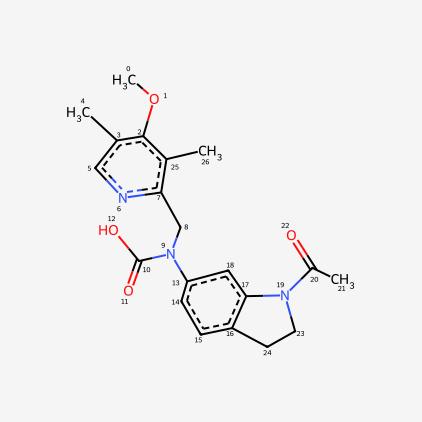 COc1c(C)cnc(CN(C(=O)O)c2ccc3c(c2)N(C(C)=O)CC3)c1C